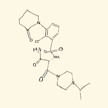 CC(C)N1CCN(C(=O)[C@@H](NS(=O)(=O)c2cccc(N3CCCCC3=O)c2Cl)C(N)=O)CC1